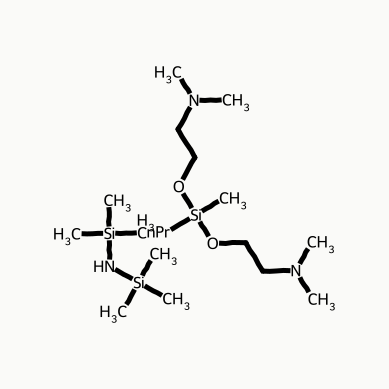 CCC[Si](C)(OCCN(C)C)OCCN(C)C.C[Si](C)(C)N[Si](C)(C)C